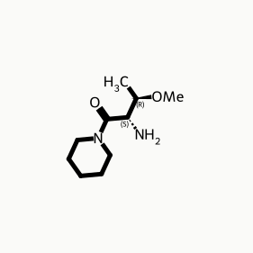 CO[C@H](C)[C@H](N)C(=O)N1CCCCC1